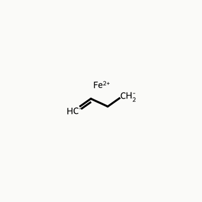 [CH-]=CC[CH2-].[Fe+2]